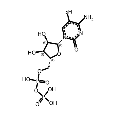 Nc1nc(=O)n([C@@H]2O[C@H](COP(=O)(O)OP(=O)(O)O)[C@@H](O)[C@H]2O)cc1S